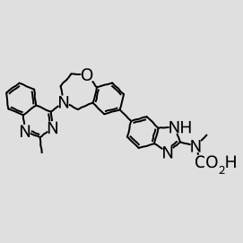 Cc1nc(N2CCOc3ccc(-c4ccc5nc(N(C)C(=O)O)[nH]c5c4)cc3C2)c2ccccc2n1